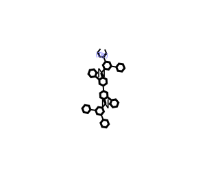 C/C=C\C(=C/C)c1cc(-c2ccccc2)cc(-n2c3ccccc3c3cc(-c4ccc5c(c4)c4ccccc4n5-c4cc(-c5ccccc5)cc(-c5ccccc5)c4)ccc32)c1